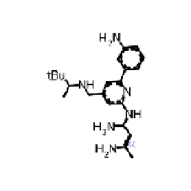 C/C(N)=C/C(N)Nc1cc(CNC(C)C(C)(C)C)cc(-c2cccc(N)c2)n1